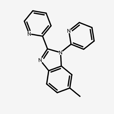 Cc1ccc2nc(-c3ccccn3)n(-c3ccccn3)c2c1